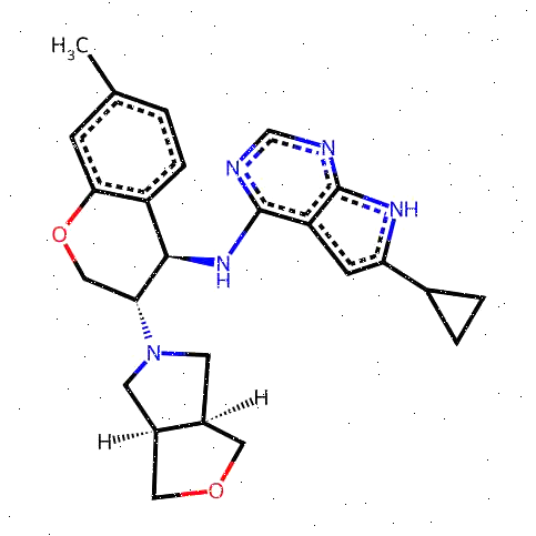 Cc1ccc2c(c1)OC[C@@H](N1C[C@H]3COC[C@H]3C1)[C@@H]2Nc1ncnc2[nH]c(C3CC3)cc12